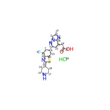 Cc1cn2nc(-c3cc(F)c4nc(C5CCNCC5)sc4c3)cc(CC(=O)O)c2n1.Cl